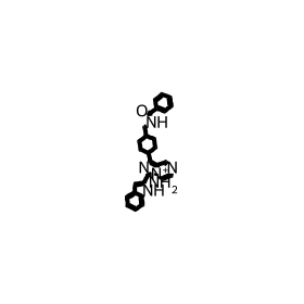 N[N+]12C=CN=CC1=C(C1CCC(CNC(=O)c3ccccc3)CC1)N=C2c1cc2ccccc2[nH]1